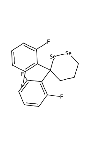 Fc1cccc(F)c1C1(c2c(F)cccc2F)CCC[Se][Se]1